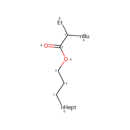 CCCCCCCCCCOC(=O)C(CC)CCCC